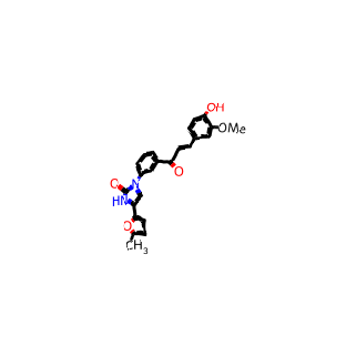 COc1cc(C=CC(=O)c2cccc(-n3cc(-c4ccc(C)o4)[nH]c3=O)c2)ccc1O